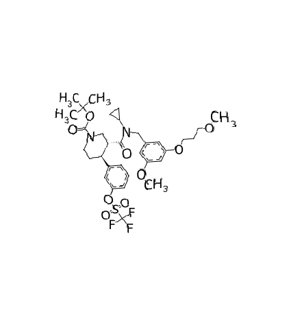 COCCCOc1cc(CN(C(=O)[C@H]2CN(C(=O)OC(C)(C)C)CC[C@@H]2c2cccc(OS(=O)(=O)C(F)(F)F)c2)C2CC2)cc(OC)c1